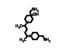 CC(CCC(C)N1CCC(O)(CN)CC1)N1CCC(CN)CC1